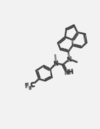 CN(C(=N)N(C)c1ccc2c3c(cccc13)C=C2)c1ccc(C(F)(F)F)cc1